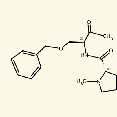 CC(=O)[C@H](COCc1ccccc1)NC(=O)[C@@H]1CCCN1C